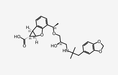 C[C@@H](OC[C@H](O)CNC(C)(C)Cc1ccc2c(c1)OCO2)c1cccc2c1O[C@H]1[C@H](C(=O)O)[C@@H]21